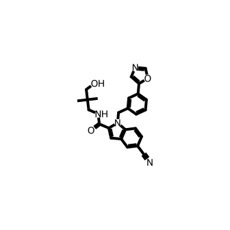 CC(C)(CO)CNC(=O)c1cc2cc(C#N)ccc2n1Cc1cccc(-c2cnco2)c1